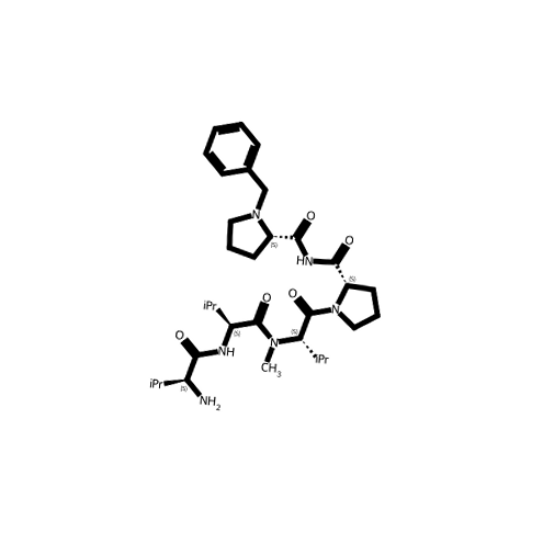 CC(C)[C@H](N)C(=O)N[C@H](C(=O)N(C)[C@H](C(=O)N1CCC[C@H]1C(=O)NC(=O)[C@@H]1CCCN1Cc1ccccc1)C(C)C)C(C)C